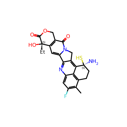 CC[C@@]1(O)C(=O)OCc2c1cc1n(c2=O)Cc2c-1nc1cc(F)c(C)c3c1c2[C@@](N)(S)CC3